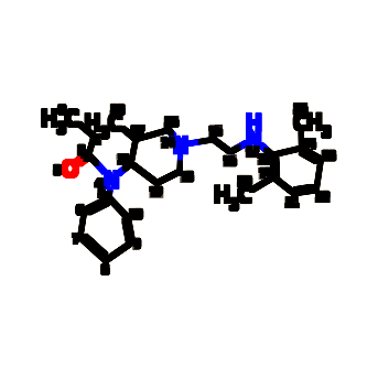 CCC(=O)N(c1ccccc1)C1CCN(CCNc2c(C)cccc2C)CC1C